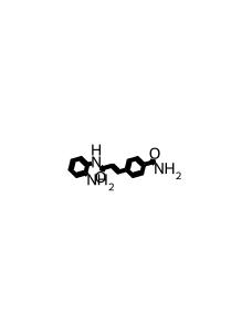 NC(=O)c1ccc(C=CC(=O)Nc2ccccc2N)cc1